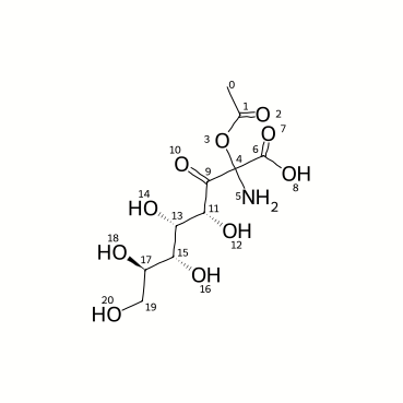 CC(=O)OC(N)(C(=O)O)C(=O)[C@H](O)[C@@H](O)[C@H](O)[C@H](O)CO